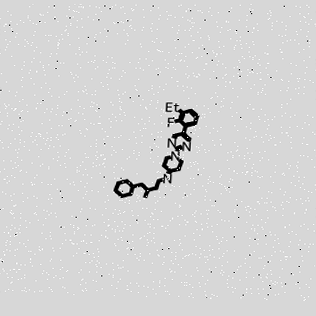 CCc1cccc(-c2cnc(N3CCC(=NCCC(C)CC4CCCCC4)CC3)nc2)c1F